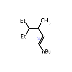 CCCC/C=C/C(C)C(CC)CC